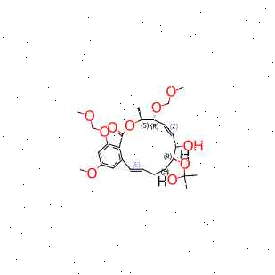 COCOc1cc(OC)cc2c1C(=O)O[C@@H](C)[C@H](OCOC)/C=C\C(O)[C@H]1OC(C)(C)O[C@H]1C/C=C/2